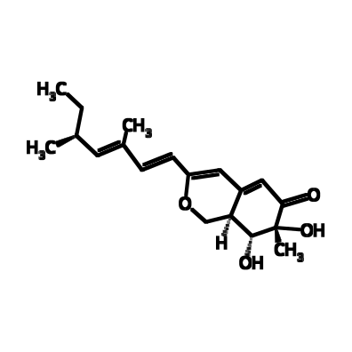 CC[C@H](C)/C=C(C)/C=C/C1=CC2=CC(=O)[C@](C)(O)[C@H](O)[C@H]2CO1